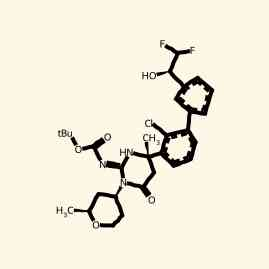 C[C@H]1C[C@@H](N2C(=O)C[C@@](C)(c3cccc(-c4cccc([C@@H](O)C(F)F)c4)c3Cl)N/C2=N\C(=O)OC(C)(C)C)CCO1